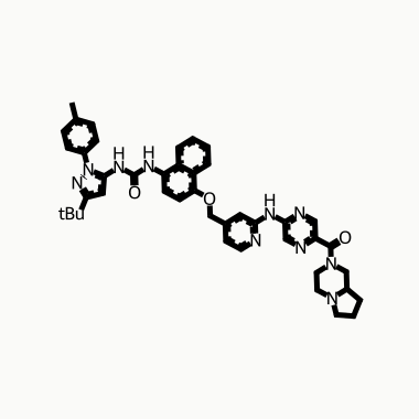 Cc1ccc(-n2nc(C(C)(C)C)cc2NC(=O)Nc2ccc(OCc3ccnc(Nc4cnc(C(=O)N5CCN6CCCC6C5)cn4)c3)c3ccccc23)cc1